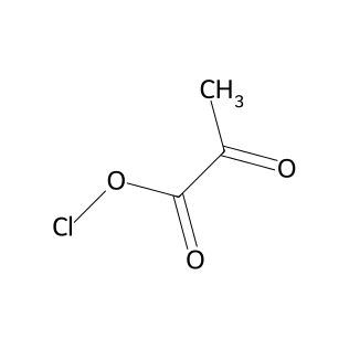 CC(=O)C(=O)OCl